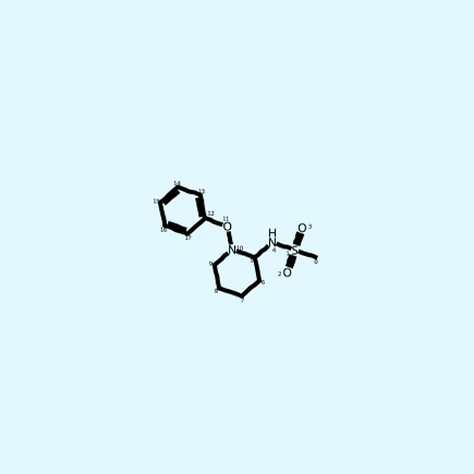 CS(=O)(=O)NC1CCCCN1Oc1ccccc1